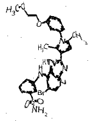 COCCOc1cccc(-n2c(C)cc(-c3nc4ncc(Br)c(Nc5cccc(S(N)(=O)=O)c5)c4[nH]3)c2C)c1